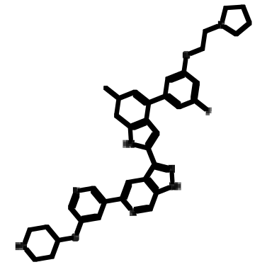 CC1C=C(c2cc(F)cc(OCCN3CCCC3)c2)c2cc(-c3n[nH]c4cnc(-c5cncc(OC6CCNCC6)c5)cc34)[nH]c2C1